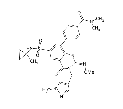 CON=c1[nH]c2c(-c3ccc(C(=O)N(C)C)cc3)cc(S(=O)(=O)NC3(C)CC3)cc2c(=O)n1Cc1cnn(C)c1